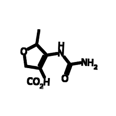 CC1OCC(C(=O)O)=C1NC(N)=O